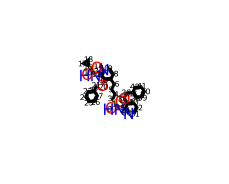 O=S(=O)(CCCCc1ccnc(NS(=O)(=O)C2CC2)c1OCc1ccccc1)Nc1ncccc1OCc1ccccc1